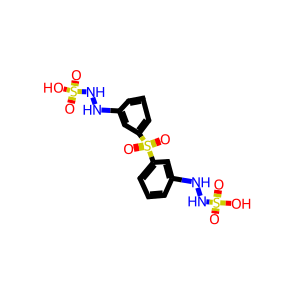 O=S(=O)(O)NNc1cccc(S(=O)(=O)c2cccc(NNS(=O)(=O)O)c2)c1